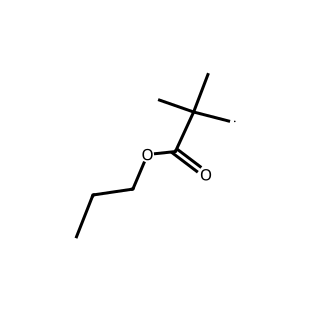 [CH2]C(C)(C)C(=O)OCCC